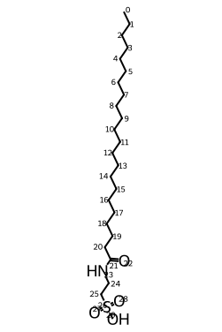 CCCCCCCCCCCCCCCCCCCCCC(=O)NCCS(=O)(=O)O